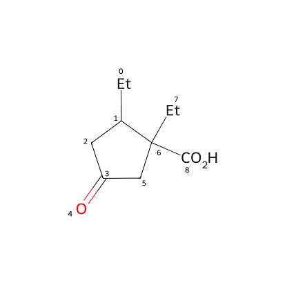 CCC1CC(=O)CC1(CC)C(=O)O